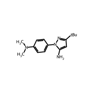 CN(C)c1ccc(-n2nc(C(C)(C)C)cc2N)cc1